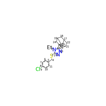 CCn1c(SCc2ccc(Cl)cc2)nnc1C12CC3CC(CC(C3)C1)C2